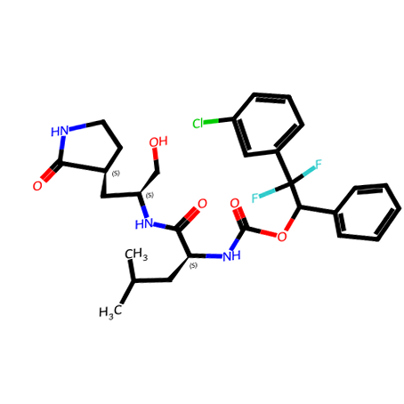 CC(C)C[C@H](NC(=O)OC(c1ccccc1)C(F)(F)c1cccc(Cl)c1)C(=O)N[C@H](CO)C[C@@H]1CCNC1=O